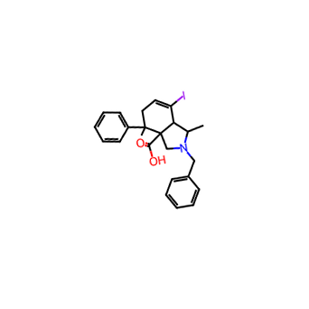 CC1C2C(I)=CCC(C)(c3ccccc3)C2(C(=O)O)CN1Cc1ccccc1